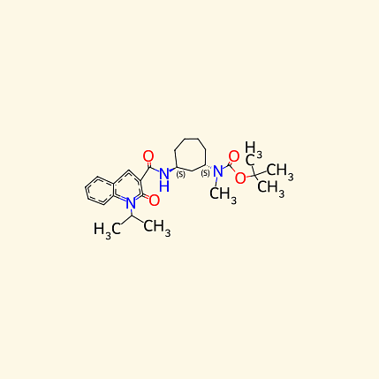 CC(C)n1c(=O)c(C(=O)N[C@H]2CCCC[C@H](N(C)C(=O)OC(C)(C)C)C2)cc2ccccc21